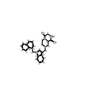 O=C1NCC(=O)N2CCN(Cc3cn(Cc4cccc5ccccc45)c4ccccc34)CC12